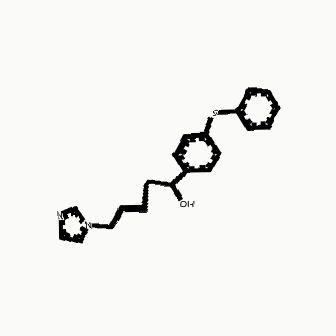 OC(CCCCn1ccnc1)c1ccc(Sc2ccccc2)cc1